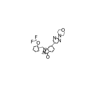 Cn1c(=O)c2ccc(-c3cnc(N4CCOCC4)nc3)cc2n1Cc1ccccc1OC(F)F